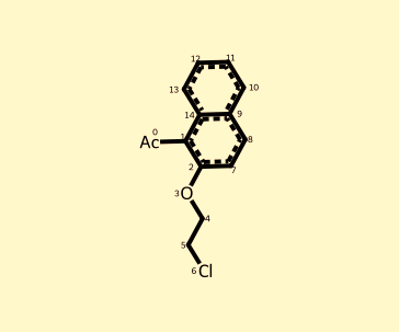 CC(=O)c1c(OCCCl)ccc2ccccc12